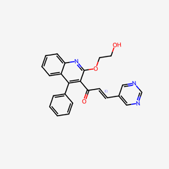 O=C(/C=C/c1cncnc1)c1c(OCCO)nc2ccccc2c1-c1ccccc1